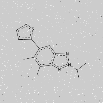 Cc1c(-c2cccs2)cc2nn(C(C)C)nc2c1C